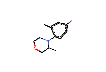 Cc1cc(I)ccc1N1CCOCC1C